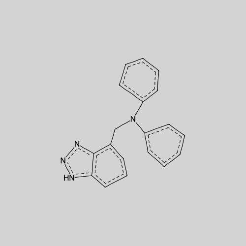 c1ccc(N(Cc2cccc3[nH]nnc23)c2ccccc2)cc1